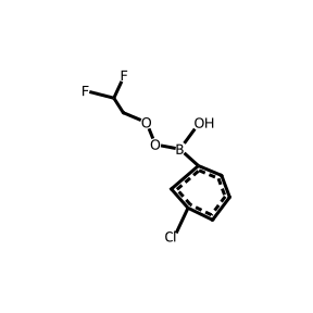 OB(OOCC(F)F)c1cccc(Cl)c1